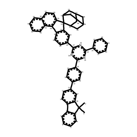 CC1(C)c2ccccc2-c2ccc(-c3ccc(-c4nc(-c5ccccc5)nc(-c5ccc6c(c5)C5(c7ccc8ccccc8c7-6)C6CC7CC(C6)CC5C7)n4)cc3)cc21